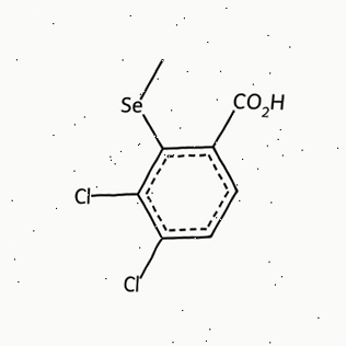 C[Se]c1c(C(=O)O)ccc(Cl)c1Cl